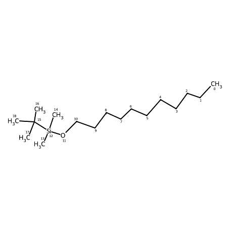 CCCCCCCC[CH]CCO[Si](C)(C)C(C)(C)C